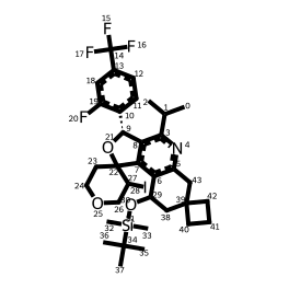 CC(C)c1nc2c(c3c1[C@@H](c1ccc(C(F)(F)F)cc1F)OC31CCOCC1I)C(O[Si](C)(C)C(C)(C)C)CC1(CCC1)C2